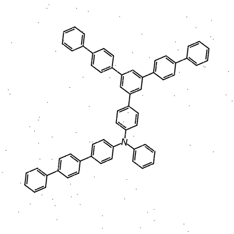 c1ccc(-c2ccc(-c3ccc(N(c4ccccc4)c4ccc(-c5cc(-c6ccc(-c7ccccc7)cc6)cc(-c6ccc(-c7ccccc7)cc6)c5)cc4)cc3)cc2)cc1